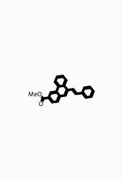 COC(=O)c1ccc2cc(/C=C/c3ccccc3)c3ccccc3c2c1